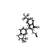 C=CCn1c(=O)c2cnc(S(C)(=O)=O)nc2n1-c1ccc2c(n1)[C@@](O)(CC)CC2